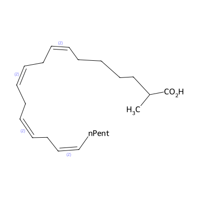 CCCCC/C=C\C/C=C\C/C=C\C/C=C\CCCCC(C)C(=O)O